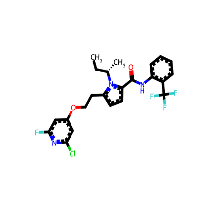 CC[C@H](C)n1c(CCOc2cc(F)nc(Cl)c2)ccc1C(=O)Nc1ccccc1C(F)(F)F